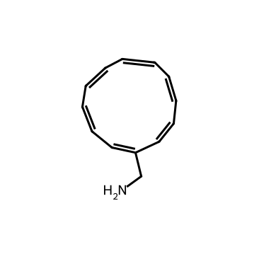 NCC1=C/C=C\C=C/C=C\C=C/C=C\1